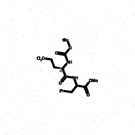 COC(=O)C(CC(C)C)NC(=O)[C@@H](CCC(Cl)(Cl)Cl)NC(=O)OC(C)(C)C